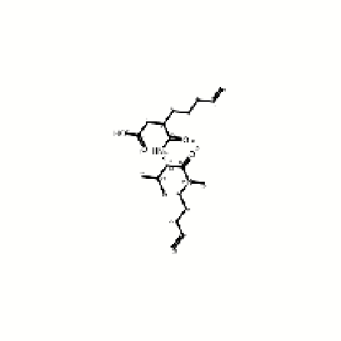 C=CCCCC(CC(=O)O)C(=O)N[C@H](C(=O)N(C)CCCC=C)C(C)C